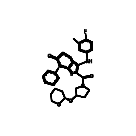 Cc1cc(Nc2c(C(=O)N3CCC(O[C@@H]4CCCCO4)C3)sc3c2ccc(=O)n3-c2ccccc2)ccc1F